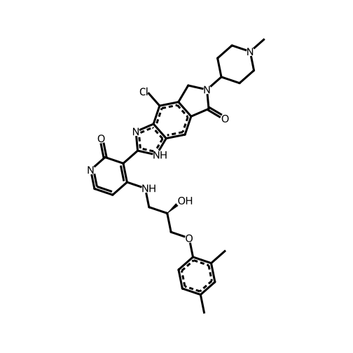 Cc1ccc(OC[C@H](O)CNC2=C(c3nc4c(Cl)c5c(cc4[nH]3)C(=O)N(C3CCN(C)CC3)C5)C(=O)N=C=C2)c(C)c1